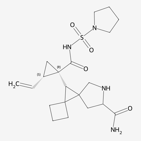 C=C[C@@H]1C[C@]1(C(=O)NS(=O)(=O)N1CCCC1)C1C2(CCC2)C12CNC(C(N)=O)C2